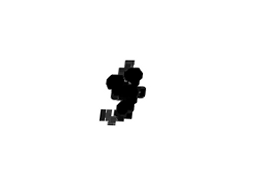 CC(C(=O)N[C@@H](Cc1ccc(F)c(F)c1)C(=O)NCc1ccc(N)nc1)N1CCCCC1